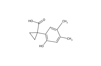 Cc1cc(O)c(C2(C(=O)O)CC2)cc1C